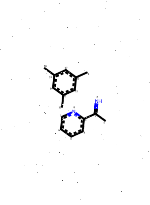 CC(=N)c1ccccn1.Cc1cc(C)cc(C)c1